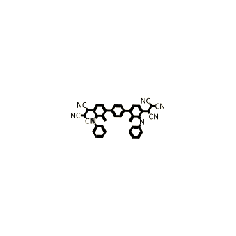 C=C1C(c2ccc(C3=CC=C(C(C#N)C(C#N)C#N)C(=Nc4ccccc4)C3=C)cc2)=CC=C(C(C#N)C(C#N)C#N)C1=Nc1ccccc1